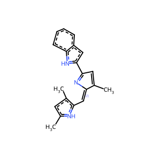 CC1=CC(c2cc3ccccc3[nH]2)=N/C1=C\c1[nH]c(C)cc1C